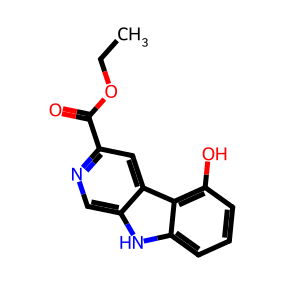 CCOC(=O)c1cc2c(cn1)[nH]c1cccc(O)c12